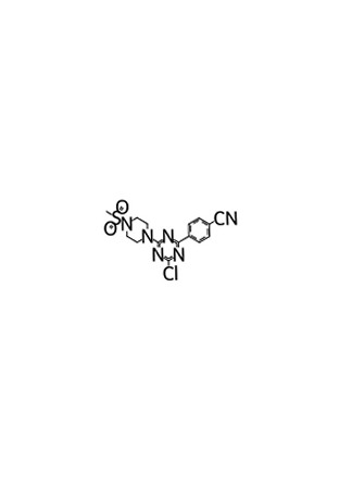 CS(=O)(=O)N1CCN(c2nc(Cl)nc(-c3ccc(C#N)cc3)n2)CC1